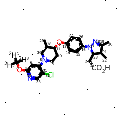 [2H]C([2H])([2H])Oc1cc(N2CCC(Oc3ccc(N4N=C(C)C(C)C4CC(=O)O)cc3)C(C)C2)c(Cl)cn1